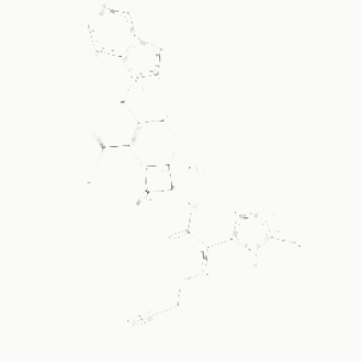 N#CCO/N=C(\C(=O)N[C@@H]1C(=O)N2C(C(=O)[O-])=C(Cn3cc[n+]4ccccc34)CS[C@@H]12)c1nsc(N)n1